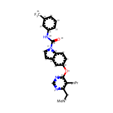 CCCc1c(CNC)ncnc1Oc1ccc2c(ccn2C(=O)Nc2cccc(C(F)(F)F)c2)c1